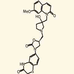 COc1ccc2ccc(=O)n(CC3(O)CCN(C[C@H]4CN(c5ccc6c(c5)NC(=O)CS6)C(=O)O4)C3)c2c1